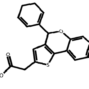 O=C(O)Cc1cc2c(s1)-c1ccccc1OC2C1=CCCC=C1